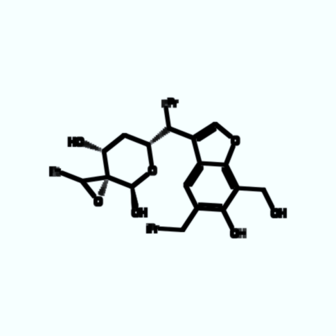 CCCC(c1coc2c(CO)c(O)c(CC(C)C)cc12)[C@H]1C[C@@H](O)[C@@]2(OC2CC)[C@H](O)O1